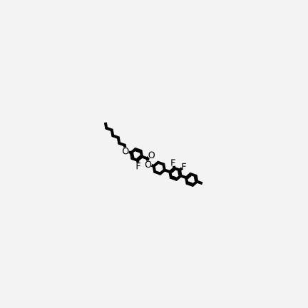 CCCCCCCOc1ccc(C(=O)OC2CCC(c3ccc(-c4ccc(C)cc4)c(F)c3F)CC2)c(F)c1